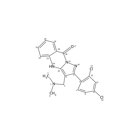 CN(C)Cc1c(-c2ccc(Cl)cc2Cl)nn2c(=O)c3ccccc3[nH]c12